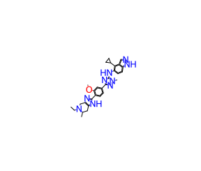 CCN1Cc2nc(-c3ccc(-c4nc(Nc5ccc6[nH]ncc6c5C5CC5)n(C)n4)cc3OC)[nH]c2CC1C